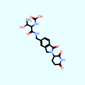 CC(O)C(NC(=O)O)C(=O)NCc1ccc2c(c1)CN(C1CCC(=O)NC1=O)C2=O